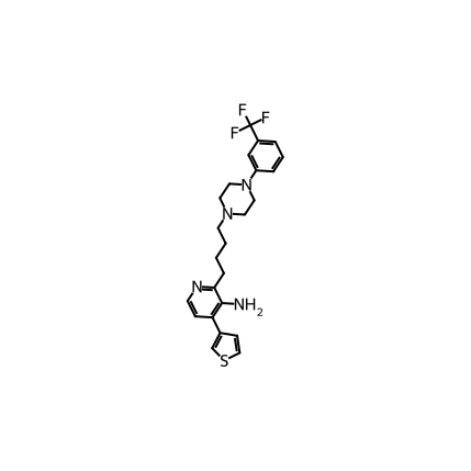 Nc1c(-c2ccsc2)ccnc1CCCCN1CCN(c2cccc(C(F)(F)F)c2)CC1